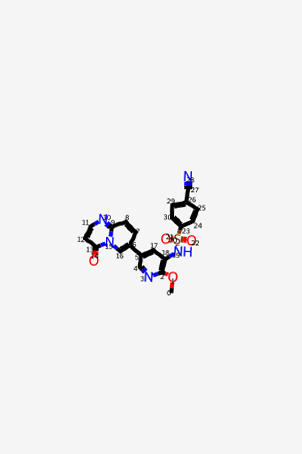 COc1ncc(-c2ccc3nccc(=O)n3c2)cc1NS(=O)(=O)c1ccc(C#N)cc1